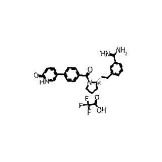 N=C(N)c1cccc(CC[C@@H]2CCCN2C(=O)c2ccc(-c3ccc(=O)[nH]c3)cc2)c1.O=C(O)C(F)(F)F